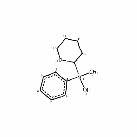 C[Si](O)(c1ccccc1)C1CCCCO1